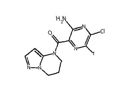 Nc1nc(Cl)c(I)nc1C(=O)N1CCCn2nccc21